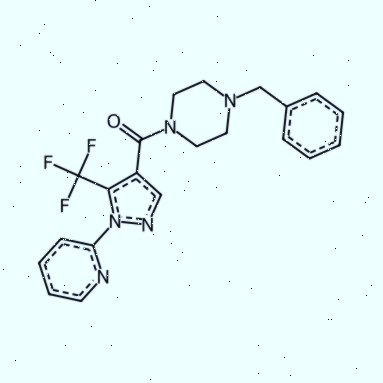 O=C(c1cnn(-c2ccccn2)c1C(F)(F)F)N1CCN(Cc2ccccc2)CC1